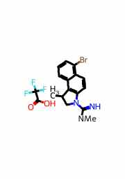 CNC(=N)N1CC(C)c2c1ccc1c(Br)cccc21.O=C(O)C(F)(F)F